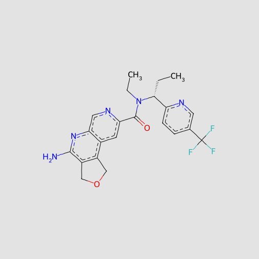 CC[C@H](c1ccc(C(F)(F)F)cn1)N(CC)C(=O)c1cc2c3c(c(N)nc2cn1)COC3